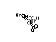 CC(C)c1ccc2nc(C[C@H](NC(=O)OCC3c4ccccc4-c4ccccc43)C(=O)O)sc2c1